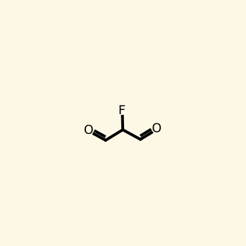 O=CC(F)C=O